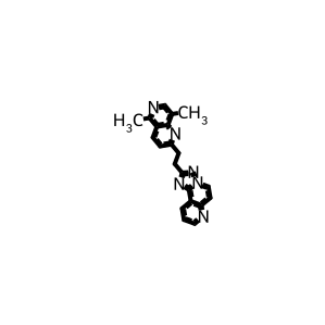 Cc1ncc(C)c2nc(CCc3nc4c5cccnc5ccn4n3)ccc12